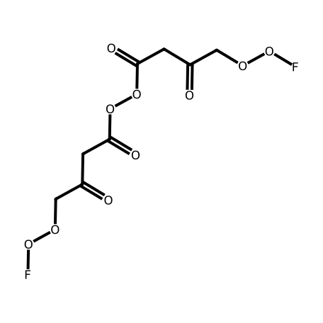 O=C(COOF)CC(=O)OOC(=O)CC(=O)COOF